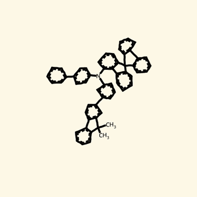 CC1(C)c2ccccc2-c2ccc(-c3cccc(N(c4ccc(-c5ccccc5)cc4)c4cccc5c4-c4ccccc4C54c5ccccc5-c5ccccc54)c3)cc21